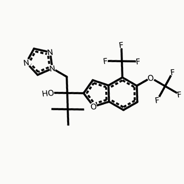 CC(C)(C)C(O)(Cn1cncn1)c1cc2c(C(F)(F)F)c(OC(F)(F)F)ccc2o1